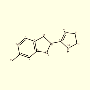 Cc1ccc2c(c1)OC(C1=NCCN1)C2